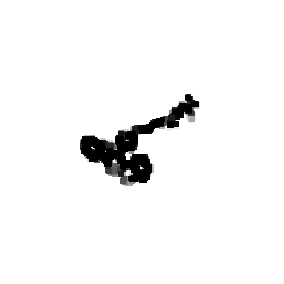 CC/C(=C(/c1ccc(OCCNC/C=C/C(=O)N(C)C)nc1)c1[nH]c2ccccc2c1Cl)c1ccccc1Cl